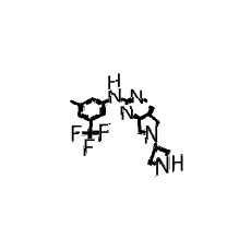 C=C1CN(C2CNC2)C/C1=N/C(=N\C)Nc1cc(C)cc(C(F)(F)F)c1